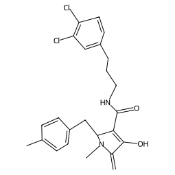 C=C1C(O)=C(C(=O)NCCCc2ccc(Cl)c(Cl)c2)C(Cc2ccc(C)cc2)N1C